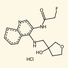 Cl.O=C(CF)Nc1cnc2ccccc2c1NCC1(O)CCOC1